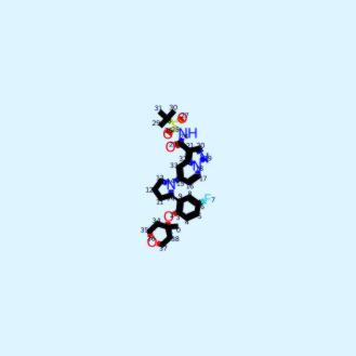 CC1(Oc2ccc(F)cc2[C@H]2CCCN2c2ccn3ncc(C(=O)NS(=O)(=O)C(C)(C)C)c3c2)CCOCC1